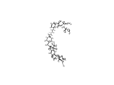 COC(=O)CC[C@@H](C(N)=O)N1Cc2c(CCCCCCN3CCC(CCOc4cc5ncnc(Nc6n[nH]c(C)c6C)c5cc4S(=O)(=O)C(C)(C)C)CC3)cccc2C1=O